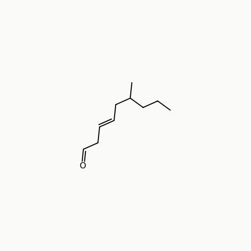 CCCC(C)C/C=C/CC=O